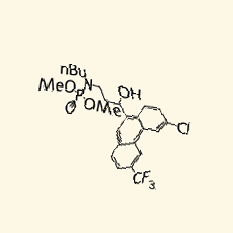 CCCCN(CCC(O)c1cc2ccc(C(F)(F)F)cc2c2cc(Cl)ccc12)P(=O)(OC)OC